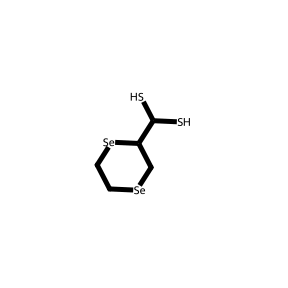 SC(S)C1C[Se]CC[Se]1